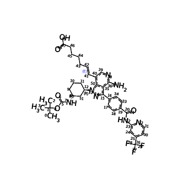 CC(C)(C)OC(=O)N[C@@H]1CCC[C@@H](n2nc(-c3ccc(C(=O)Nc4cc(C(F)(F)F)ccn4)cc3)c3c(N)ncc(/C=C/CCCCC(=O)O)c32)C1